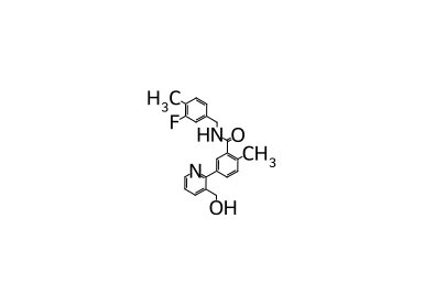 Cc1ccc(CNC(=O)c2cc(-c3ncccc3CO)ccc2C)cc1F